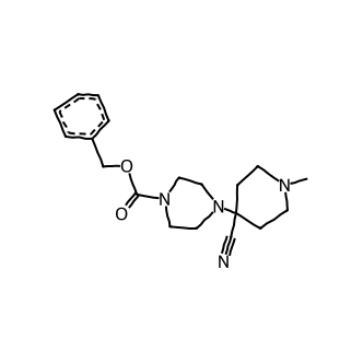 CN1CCC(C#N)(N2CCN(C(=O)OCc3ccccc3)CC2)CC1